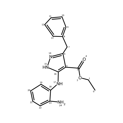 CCOC(=O)c1c(Cc2ccccc2)n[nH]c1Nc1ccccc1N